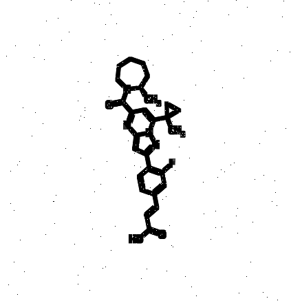 C[C@@H]1CCCCCN1C(=O)c1cc(C2(C)CC2)n2nc(-c3ccc(/C=C/C(=O)O)cc3F)cc2n1